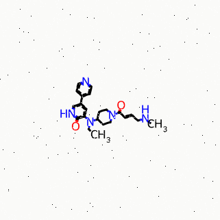 CCN(c1cc(-c2ccncc2)c[nH]c1=O)C1CCN(C(=O)C=CCNC)CC1